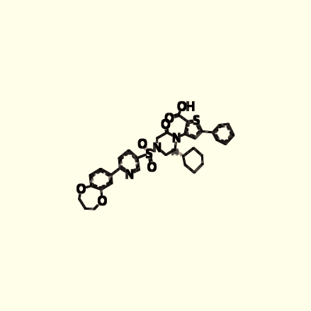 O=C(O)c1sc(-c2ccccc2)cc1N1C(=O)CN(S(=O)(=O)c2ccc(-c3ccc4c(c3)OCCCO4)nc2)C[C@H]1C1CCCCC1